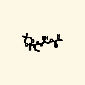 CCN(SSC(=N)COC(=O)NC)P1(=S)OCC(C)(C)CO1